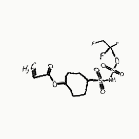 C=CC(=O)OC1CCC(S(=O)(=O)NS(=O)(=O)OC(F)(F)CF)CC1